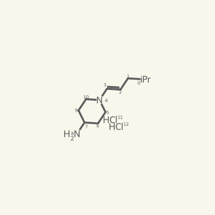 CC(C)C/C=C/N1CCC(N)CC1.Cl.Cl